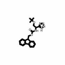 CC(C)(C)OCC(NC(=O)OCC1c2ccccc2-c2ccccc21)c1nnn[nH]1